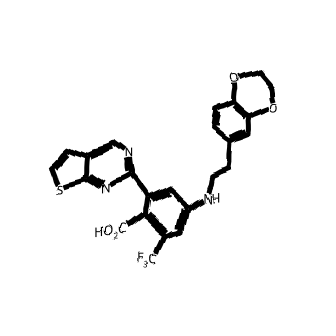 O=C(O)c1c(-c2ncc3ccsc3n2)cc(NCCc2ccc3c(c2)OCCO3)cc1C(F)(F)F